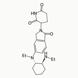 CCN[C@H]1CCCC[C@@H]1N(CC)c1ccc2c(c1)CN(C1CCC(=O)NC1=O)C2=O